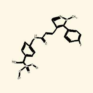 CCOP(=O)(OCC)C(O)c1ccc(NC(=O)C=Cc2cnn(C)c2-c2ccc(F)cc2)cc1